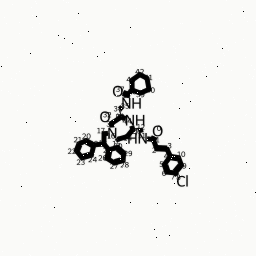 O=C(C=Cc1ccc(Cl)cc1)NC[C@@H]1CCN(CC(c2ccccc2)c2ccccc2)C(=O)[C@H](CNC(=O)C2CCCCC2)N1